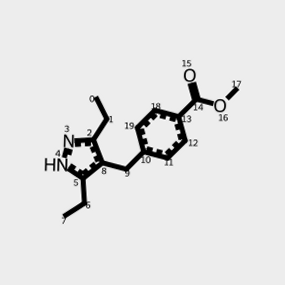 CCc1n[nH]c(CC)c1Cc1ccc(C(=O)OC)cc1